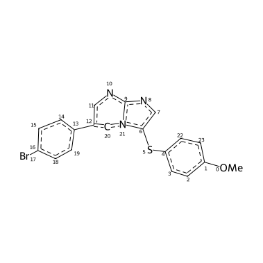 COc1ccc(Sc2cnc3ncc(-c4ccc(Br)cc4)cn23)cc1